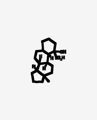 C[C@@]12CCC[C@H]1[C@@H]1CCC3CCCC(O)(S(=O)(=O)O)[C@@H]3[C@H]1CC2